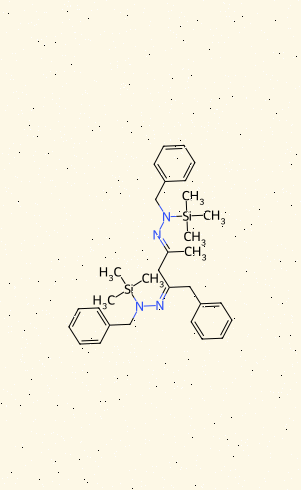 C/C(C/C(Cc1ccccc1)=N\N(Cc1ccccc1)[Si](C)(C)C)=N\N(Cc1ccccc1)[Si](C)(C)C